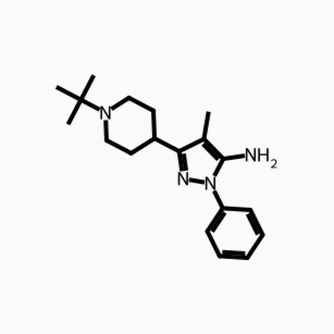 Cc1c(C2CCN(C(C)(C)C)CC2)nn(-c2ccccc2)c1N